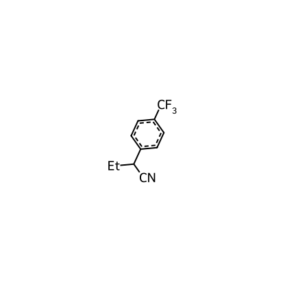 [CH2]CC(C#N)c1ccc(C(F)(F)F)cc1